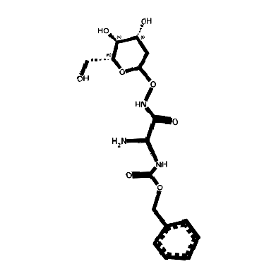 NC(NC(=O)OCc1ccccc1)C(=O)NOC1C[C@@H](O)[C@H](O)[C@@H](CO)O1